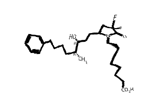 C[C@H](CCCCc1ccccc1)[C@H](O)CCC1CC(F)(F)C(=O)N1CCCCCCC(=O)O